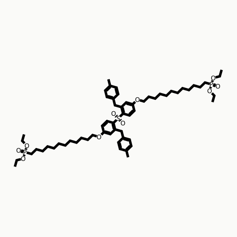 CCOP(=O)(CCCCCCCCCCCCOc1ccc(S(=O)(=O)c2ccc(OCCCCCCCCCCCCP(=O)(OCC)OCC)cc2Cc2ccc(C)cc2)c(Cc2ccc(C)cc2)c1)OCC